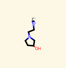 [C-]#[N+]CCN1CC[C@H](O)C1